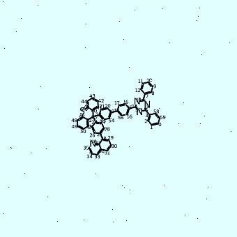 c1ccc(-c2nc(-c3ccccc3)nc(-c3ccc(-c4ccc(C5(c6ccc(-c7cccc8cccnc78)cc6)c6ccccc6Sc6ccccc65)cc4)cc3)n2)cc1